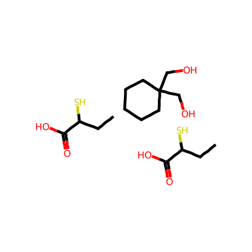 CCC(S)C(=O)O.CCC(S)C(=O)O.OCC1(CO)CCCCC1